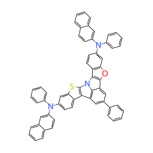 c1ccc(-c2cc3c4oc5cc(N(c6ccccc6)c6ccc7ccccc7c6)ccc5c4n4c5sc6cc(N(c7ccccc7)c7ccc8ccccc8c7)ccc6c5c(c2)c34)cc1